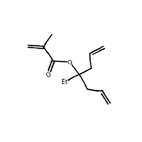 C=CCC(CC)(CC=C)OC(=O)C(=C)C